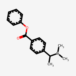 C[CH](c1ccc(C(=O)Oc2ccccc2)cc1)[Bi]([CH3])[CH3]